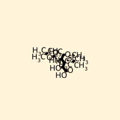 CC(O[Si](C)(C)C(C)(C)C)C(CC(O)C(=O)O)NC(=O)OC(C)(C)C